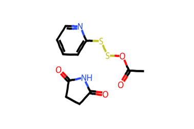 CC(=O)OSSc1ccccn1.O=C1CCC(=O)N1